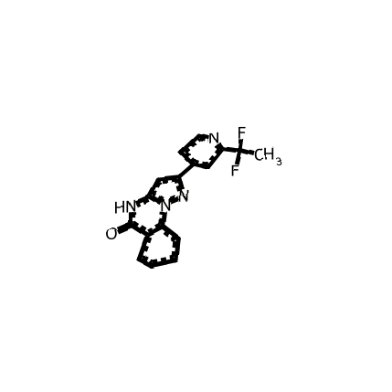 CC(F)(F)c1cc(-c2cc3[nH]c(=O)c4ccccc4n3n2)ccn1